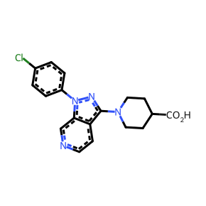 O=C(O)C1CCN(c2nn(-c3ccc(Cl)cc3)c3cnccc23)CC1